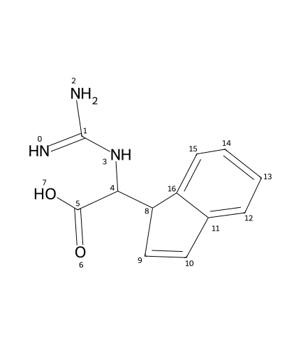 N=C(N)NC(C(=O)O)C1C=Cc2ccccc21